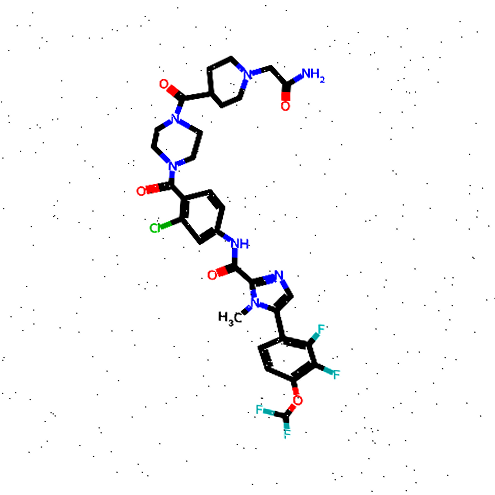 Cn1c(-c2ccc(OC(F)F)c(F)c2F)cnc1C(=O)Nc1ccc(C(=O)N2CCN(C(=O)C3CCN(CC(N)=O)CC3)CC2)c(Cl)c1